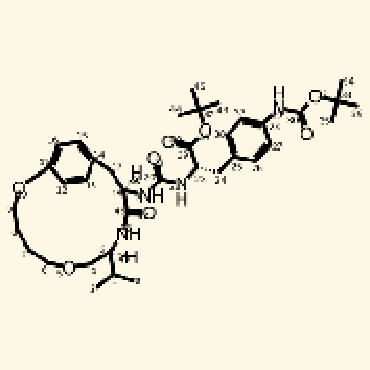 CC(C)[C@H]1COCCCCOc2ccc(cc2)C[C@@H](NC(=O)N[C@@H](Cc2ccc(NC(=O)OC(C)(C)C)cc2)C(=O)OC(C)(C)C)C(=O)N1